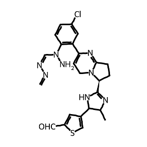 C=N/N=C\N(N)c1ccc(Cl)cc1C1=CCN2C(=N1)CC[C@H]2C1=NC(C)C(c2csc(C=O)c2)N1